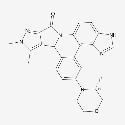 Cc1c2c(nn1C)C(=O)N1c3ccc4[nH]cnc4c3-c3cc(N4CCOC[C@H]4C)ccc3C21